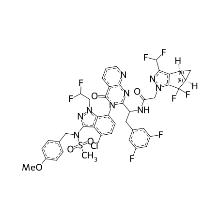 COc1ccc(CN(c2nn(CC(F)F)c3c(-n4c(C(Cc5cc(F)cc(F)c5)NC(=O)Cn5nc(C(F)F)c6c5C(F)(F)[C@@H]5C[C@H]65)nc5ncccc5c4=O)ccc(Cl)c23)S(C)(=O)=O)cc1